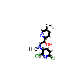 Cc1ccc(C(O)CN(C)c2ccc(Cl)nc2Cl)nc1